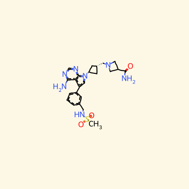 CS(=O)(=O)NCc1cccc(-c2cn([C@H]3C[C@@H](CN4CC(C(N)=O)C4)C3)c3ncnc(N)c23)c1